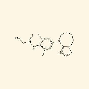 Cc1cc(N2CCCCc3cc[nH]c32)cc(C)c1NC(=O)CC(C)(C)C